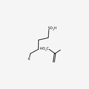 C=C(C)C(=O)O.O=S(=O)(O)CCC[CH2][K]